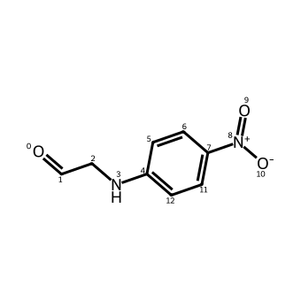 O=CCNc1ccc([N+](=O)[O-])cc1